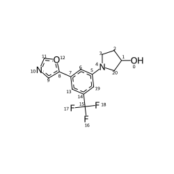 OC1CCN(c2cc(-c3cnco3)cc(C(F)(F)F)c2)C1